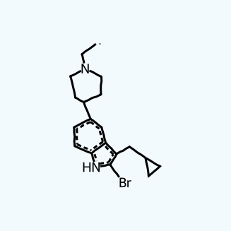 [CH2]CN1CCC(c2ccc3[nH]c(Br)c(CC4CC4)c3c2)CC1